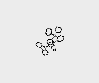 N#Cc1cc(-c2ccccc2[Si](c2ccccc2)(c2ccccc2)c2ccccc2)ccc1-n1c2ccccc2c2ccccc21